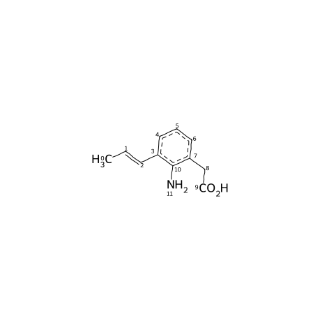 CC=Cc1cccc(CC(=O)O)c1N